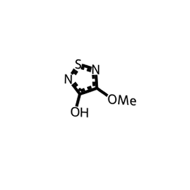 COc1nsnc1O